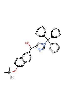 CC(C)(C)[Si](C)(C)Oc1ccc2cc(C(O)c3cn(C(c4ccccc4)(c4ccccc4)c4ccccc4)cn3)ccc2c1